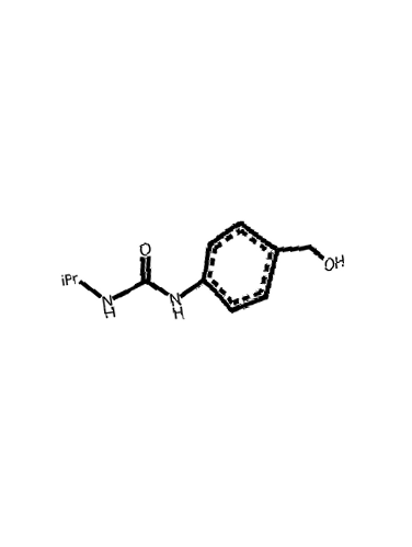 CC(C)NC(=O)Nc1ccc(CO)cc1